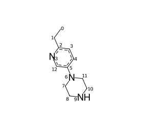 CCc1ccc(N2CCNCC2)cn1